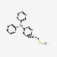 CCCCCCCCCCSCC(=O)[O-].c1cc[c]([Sn+]([c]2ccccc2)[c]2ccccc2)cc1